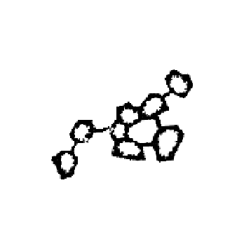 c1ccc(-c2cc3c4c(ccc5c4c4c(cccc4n5-c4cccc(-c5ccccc5)n4)-c4ccccc4-3)c2)cc1